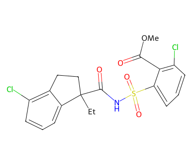 CCC1(C(=O)NS(=O)(=O)c2cccc(Cl)c2C(=O)OC)CCc2c(Cl)cccc21